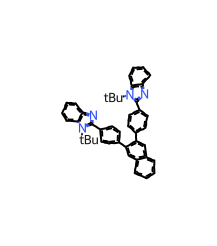 CC(C)(C)n1c(-c2ccc(-c3cc4ccccc4cc3-c3ccc(-c4nc5ccccc5n4C(C)(C)C)cc3)cc2)nc2ccccc21